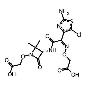 CC1(C)[C@H](NC(=O)/C(=N\OCC(=O)O)c2nc(N)sc2Cl)C(=O)N1OCC(=O)O